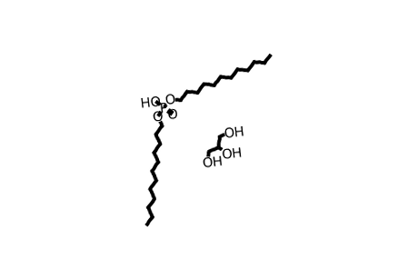 CCCCCCCCCCCCOP(=O)(O)OCCCCCCCCCCCC.OCC(O)CO